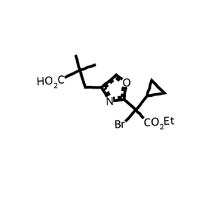 CCOC(=O)C(Br)(c1nc(CC(C)(C)C(=O)O)co1)C1CC1